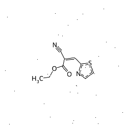 CCOC(=O)/C(C#N)=C\c1nccs1